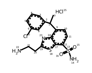 CC(c1cccc(Cl)c1)c1ccc(S(N)(=O)=O)c2sc(CCN)nc12.Cl